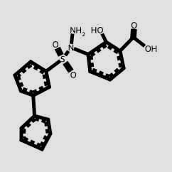 NN(c1cccc(C(=O)O)c1O)S(=O)(=O)c1cccc(-c2ccccc2)c1